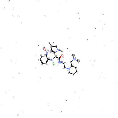 CCN(CC)CC1CCCCN1CCNC(=O)C1C2=C(C(C)CN2C)[N+]([O-])=C2CC=CC=C2N1Cl